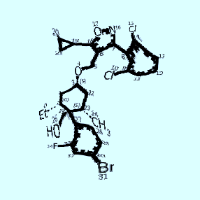 CC[C@@H]1C[C@@H](OCc2c(-c3c(Cl)cccc3Cl)noc2C2CC2)C[C@H](C)[C@]1(O)c1ccc(Br)cc1F